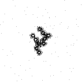 c1ccc(-c2ccc(-c3nc(-c4cccc(-c5ccccc5)c4)nc(-c4cccc5c4oc4cc6c(cc45)c4ccccc4n6-c4ccc(-c5ccccc5)cc4)n3)cc2)cc1